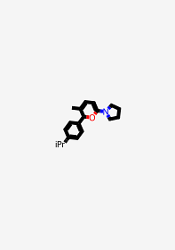 CC1=CC=C(N2CCCC2)OC1c1ccc(C(C)C)cc1